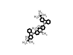 CN1c2ccc(-n3c4ccccc4c4cc(C(C)(C)C)ccc43)cc2C(C)(C)c2cc(-n3c4ccccc4c4cc(C(C)(C)C)ccc43)ccc21